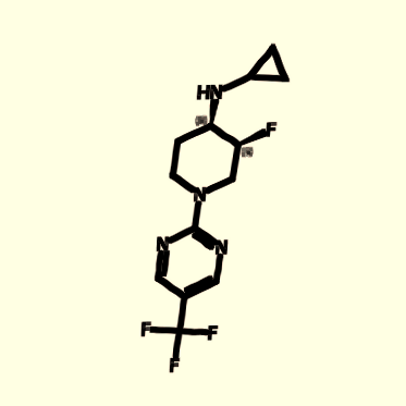 F[C@H]1CN(c2ncc(C(F)(F)F)cn2)CC[C@H]1NC1CC1